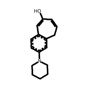 OC1=Cc2ccc(N3CCCCC3)cc2CC=C1